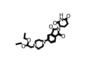 CCOC(CN1CCN(c2ccc3c(c2)C(=O)N(C2CCC(=O)NC2=O)C3=O)CC1)OCC